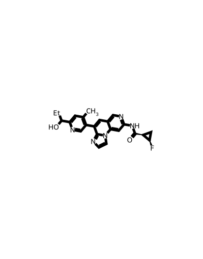 CCC(O)c1cc(C)c(-c2cc3cnc(NC(=O)[C@H]4C[C@H]4F)cc3n3ccnc23)cn1